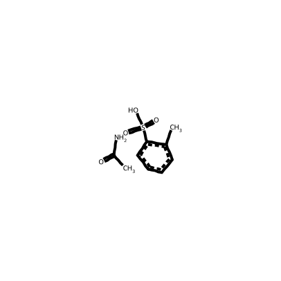 CC(N)=O.Cc1ccccc1S(=O)(=O)O